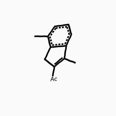 CC(=O)C1=C(C)c2cccc(C)c2C1